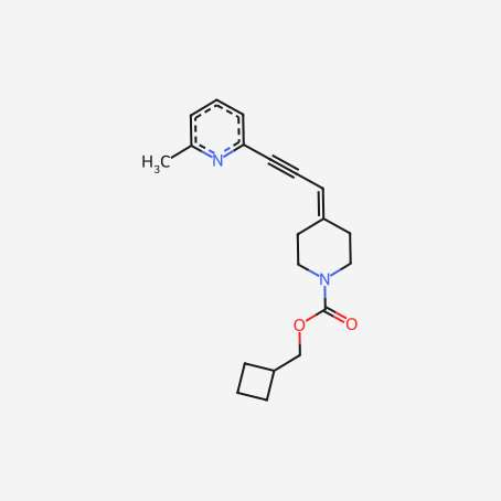 Cc1cccc(C#CC=C2CCN(C(=O)OCC3CCC3)CC2)n1